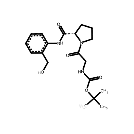 CC(C)(C)OC(=O)NCC(=O)N1CCC[C@H]1C(=O)Nc1ccccc1CO